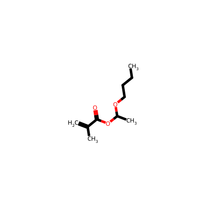 C=C(C)C(=O)O[C](C)OCCCC